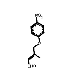 C/C(=C\C=O)COc1ccc([N+](=O)[O-])cc1